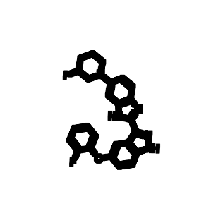 Fc1ccccc1Oc1ccc2[nH]nc(-c3nc4ccc(N5CCCC(F)C5)cc4[nH]3)c2c1